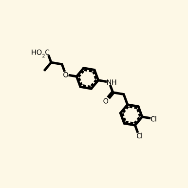 CC(COc1ccc(NC(=O)Cc2ccc(Cl)c(Cl)c2)cc1)C(=O)O